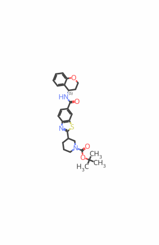 CC(C)(C)OC(=O)N1CCCC(c2nc3ccc(C(=O)N[C@H]4CCOc5ccccc54)cc3s2)C1